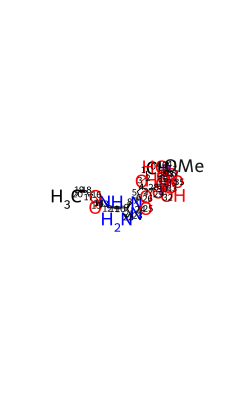 C=CCOC1C[C@H](n2cc(C#CCNC(=O)OC/C=C\C)c(N)nc2=O)O[C@@H]1COP(=O)(O)OP(=O)(O)OP(=O)(O)OC